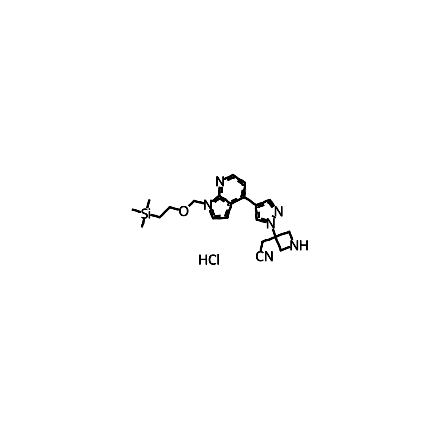 C[Si](C)(C)CCOCn1ccc2c(-c3cnn(C4(CC#N)CNC4)c3)ccnc21.Cl